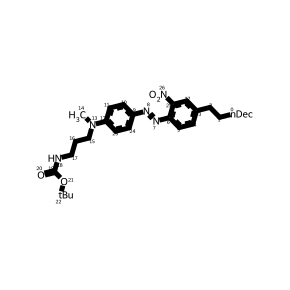 CCCCCCCCCCCCc1ccc(N=Nc2ccc(N(C)CCCNC(=O)OC(C)(C)C)cc2)c([N+](=O)[O-])c1